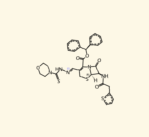 O=C(Cc1cccs1)NC1C(=O)N2C(C(=O)OC(c3ccccc3)c3ccccc3)=C(/C=N/NC(=S)N3CCOCC3)CS[C@H]12